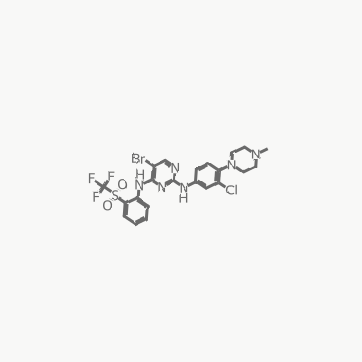 CN1CCN(c2ccc(Nc3ncc(Br)c(Nc4ccccc4S(=O)(=O)C(F)(F)F)n3)cc2Cl)CC1